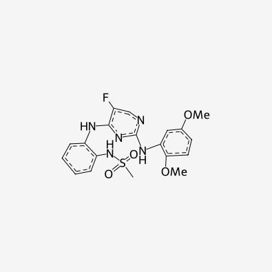 COc1ccc(OC)c(Nc2ncc(F)c(Nc3ccccc3NS(C)(=O)=O)n2)c1